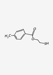 Cc1ccc(C(=O)OCCS)cc1